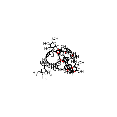 CN[C@H](CC(C)C)C(=O)N[C@H]1C(=O)N[C@@H](CC(N)=O)C(=O)N[C@H]2C(=O)N[C@@H]3C(=O)N[C@H](C(=O)N[C@H](C(=O)O)c4cc(O)cc(O)c4-c4cc3ccc4O)[C@H](O)c3ccc(c(Cl)c3)Oc3cc2cc(c3OC2O[C@H](CO)C(O)C(O)[C@H]2O[C@H]2CC3(NCc4ccc(-c5ccc(C(F)(F)F)cc5)cc4)C2[C@@H](C)[C@@H]3O)Oc2ccc(cc2Cl)[C@H]1O